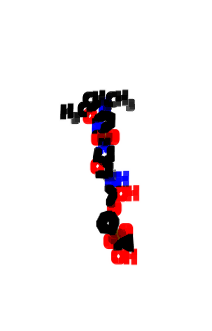 CN1CC(C)(C)Oc2nc(S(=O)(=O)N3CCC4(CC3)C[C@@H](NCC(O)COc3cccc(S(=O)(=O)C5(CO)CC5)c3)CO4)ccc21